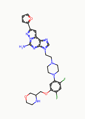 Nc1nc2c(ncn2CCN2CCN(c3cc(OCC4COCCN4)c(F)cc3F)CC2)c2cc(-c3ccco3)nn12